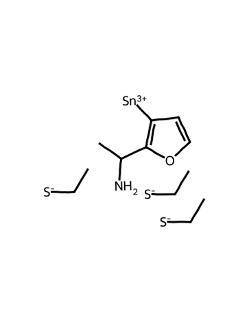 CC(N)c1occ[c]1[Sn+3].CC[S-].CC[S-].CC[S-]